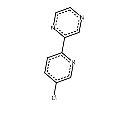 Clc1ccc(-c2cnccn2)nc1